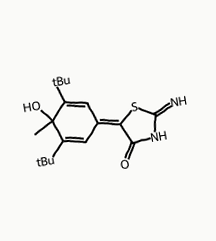 CC(C)(C)C1=CC(=C2SC(=N)NC2=O)C=C(C(C)(C)C)C1(C)O